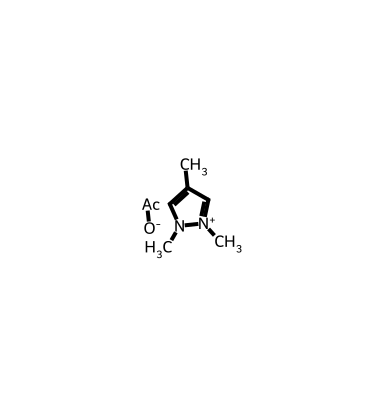 CC(=O)[O-].Cc1cn(C)[n+](C)c1